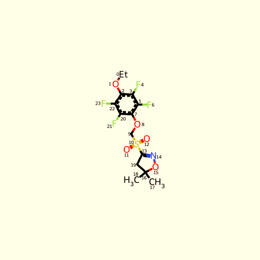 CCOc1c(F)c(F)c(OCS(=O)(=O)C2=NOC(C)(C)C2)c(F)c1F